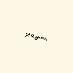 CN1CCN(CC(=O)NC2CN3N=C(Oc4cccc(NC(=O)c5cccc(C(F)(F)F)c5)c4)C=CC3=N2)CC1